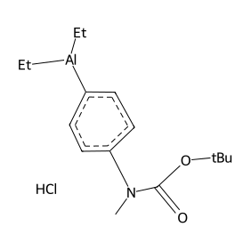 C[CH2][Al]([CH2]C)[c]1ccc(N(C)C(=O)OC(C)(C)C)cc1.Cl